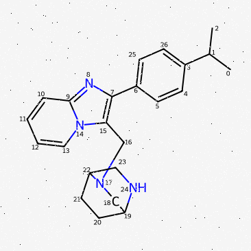 CC(C)c1ccc(-c2nc3ccccn3c2CN2CC3CCC2CN3)cc1